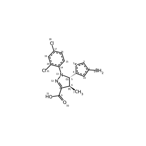 Bc1csc([C@@H]2[C@@H](C)C(C(=O)O)=NN2c2ccc(Cl)cc2Cl)c1